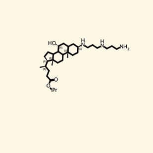 CC(C)OC(=O)CC[C@@H](C)[C@H]1CCC2C3C(CC[C@@]21C)[C@@]1(C)CC[C@H](NCCCNCCCN)CC1C[C@H]3O